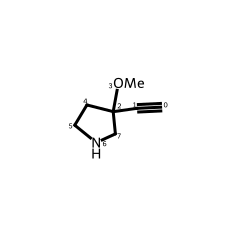 C#CC1(OC)CCNC1